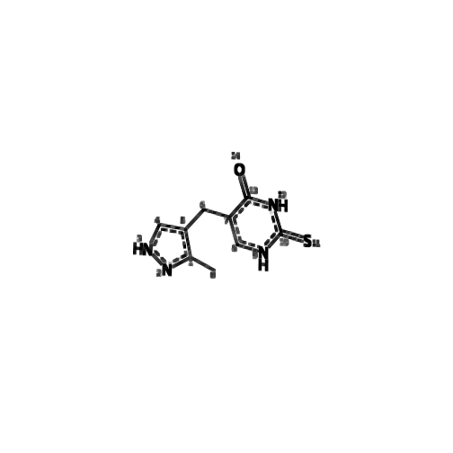 Cc1n[nH]cc1Cc1c[nH]c(=S)[nH]c1=O